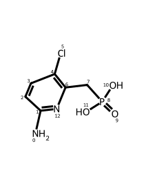 Nc1ccc(Cl)c(CP(=O)(O)O)n1